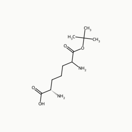 CC(C)(C)OC(=O)C(N)CCC[C@H](N)C(=O)O